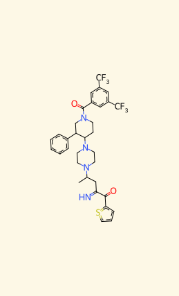 CC(CC(=N)C(=O)c1cccs1)N1CCN(C2CCN(C(=O)c3cc(C(F)(F)F)cc(C(F)(F)F)c3)CC2c2ccccc2)CC1